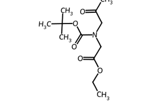 CCOC(=O)CN(CC(C)=O)C(=O)OC(C)(C)C